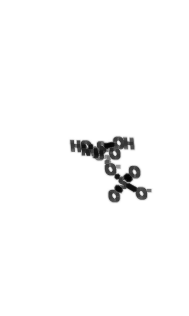 O.O=S(=O)(O)O.O=S(=O)([O-])[O-].[Mg+2]